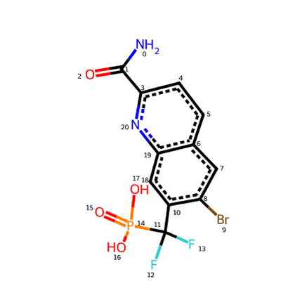 NC(=O)c1ccc2cc(Br)c(C(F)(F)P(=O)(O)O)cc2n1